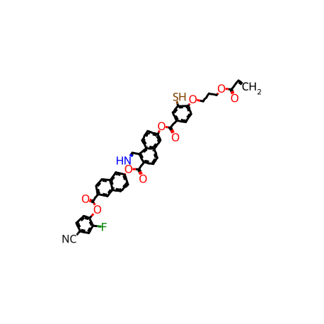 C=CC(=O)OCCCOc1ccc(C(=O)Oc2ccc3c(C=N)c(C(=O)Oc4ccc5cc(C(=O)Oc6ccc(C#N)cc6F)ccc5c4)ccc3c2)cc1S